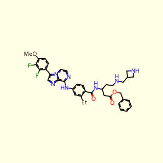 CCc1cc(Nc2nccn3c(-c4ccc(OC)c(F)c4F)cnc23)ccc1C(=O)NC(CCNCC1CNC1)CC(=O)OCc1ccccc1